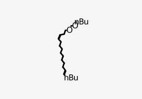 CCCC/C=C/CCCCCCCC/C=C\CCOCOCCCC